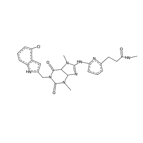 CNC(=O)CCc1cccc(NC2=NC3C(C(=O)N(Cc4cc5c(Cl)cccc5[nH]4)C(=O)N3C)N2C)n1